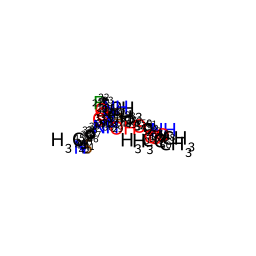 COc1cc(OCC2CCC(CSC(C)(C)[C@@H](NC(=O)C3(F)CC3)C(=O)N3C[C@H](O)C[C@H]3C(=O)NCc3ccc(-c4scnc4C)cc3)CC2)ccc1NC(=O)OC(C)(C)C